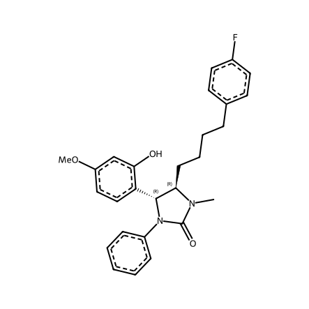 COc1ccc([C@@H]2[C@@H](CCCCc3ccc(F)cc3)N(C)C(=O)N2c2ccccc2)c(O)c1